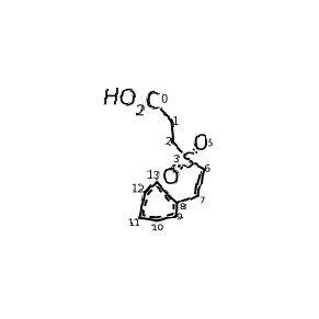 O=C(O)CCS(=O)(=O)/C=C\c1ccccc1